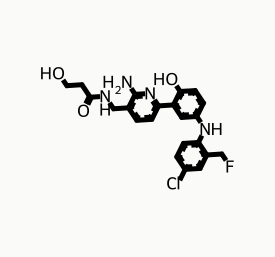 Nc1nc(-c2cc(Nc3ccc(Cl)cc3CF)ccc2O)ccc1CNC(=O)CCO